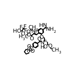 CCOC(=O)C[C@@H](COc1cc(C(=N)N)ccc1C=C(NC(C)=O)C(=O)OC)NC(=O)c1ccc(S(=O)(=O)N2CCCC2)cc1.O=C(O)C(F)(F)F